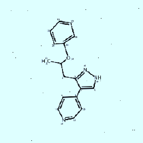 CC(Cc1n[nH]cc1-c1ccncc1)Oc1ccccc1